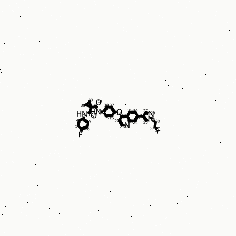 O=C(Nc1ccc(F)cc1)C1(C(=O)Nc2ccc(Oc3ccnc4cc(-c5cnn(CCF)c5)ccc34)cc2)CC1